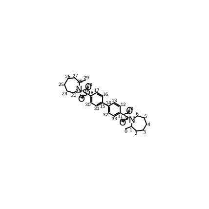 CC1CCCCCN1S(=O)(=O)c1ccc(-c2ccc(S(=O)(=O)N3CCCCCC3C)cc2)cc1